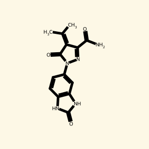 CC(C)=C1C(=O)N(c2ccc3[nH]c(=O)[nH]c3c2)N=C1C(N)=O